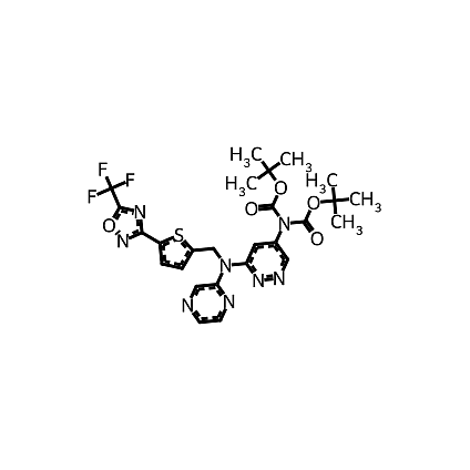 CC(C)(C)OC(=O)N(C(=O)OC(C)(C)C)c1cnnc(N(Cc2ccc(-c3noc(C(F)(F)F)n3)s2)c2cnccn2)c1